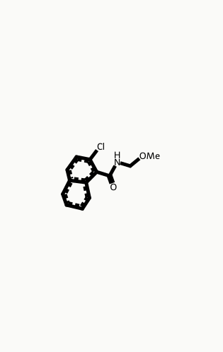 COCNC(=O)c1c(Cl)ccc2ccccc12